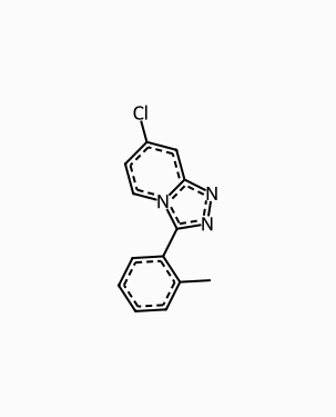 Cc1ccccc1-c1nnc2cc(Cl)ccn12